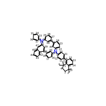 CC1(C)CCC(C)(C)c2c(-c3ccc(N(c4ccccc4)c4cccc(-c5cccc(N(c6ccccc6)c6ccc7ccccc7c6)c5)c4)cc3)cccc21